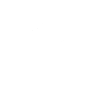 CCC(C(=O)O)C1CC[Si](C)(C)[Si](C)(C)O1